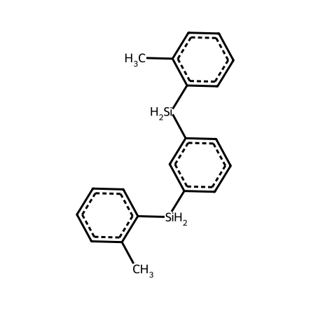 Cc1ccccc1[SiH2]c1cccc([SiH2]c2ccccc2C)c1